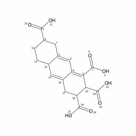 O=C(O)C1=C2C=C3CC(C(=O)O)CCC3C=C2CC(C(=O)O)C1C(=O)O